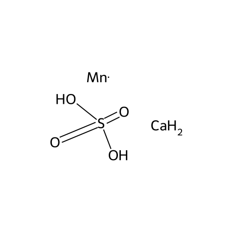 O=S(=O)(O)O.[CaH2].[Mn]